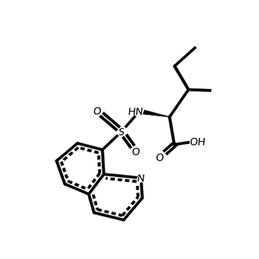 CCC(C)[C@H](NS(=O)(=O)c1cccc2cccnc12)C(=O)O